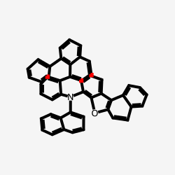 c1ccc(-c2cccc3cccc(-c4ccccc4N(c4cccc5ccccc45)c4cccc5c4oc4ccc6ccccc6c45)c23)cc1